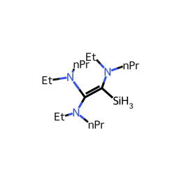 CCCN(CC)C([SiH3])=C(N(CC)CCC)N(CC)CCC